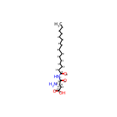 CCCCCCCCCCCCCCCC(=O)NC(=O)[C@@H](N)CC(=O)O